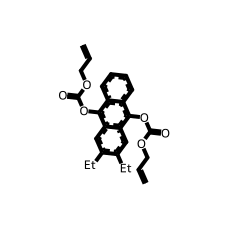 C=CCOC(=O)Oc1c2ccccc2c(OC(=O)OCC=C)c2cc(CC)c(CC)cc12